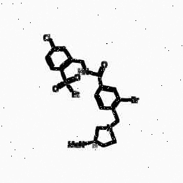 CCS(=O)(=O)c1ccc(Cl)cc1CNC(=O)c1ccc(CN2CC[C@@H](NC)C2)c(Br)c1